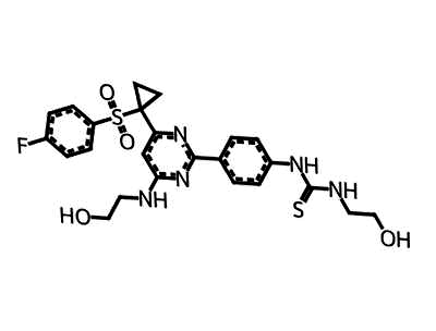 O=S(=O)(c1ccc(F)cc1)C1(c2cc(NCCO)nc(-c3ccc(NC(=S)NCCO)cc3)n2)CC1